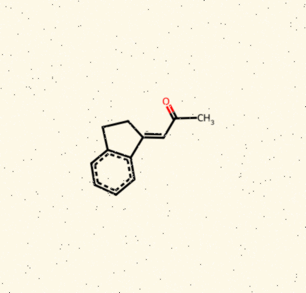 CC(=O)C=C1CCc2ccccc21